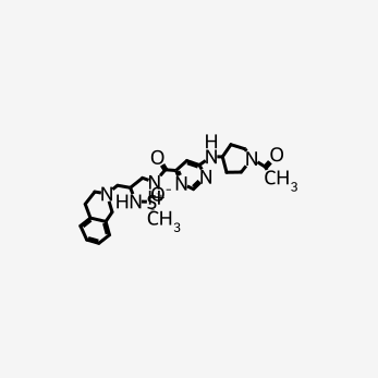 CC(=O)N1CCC(Nc2cc(C(=O)NCC(CN3CCc4ccccc4C3)N[S+](C)[O-])ncn2)CC1